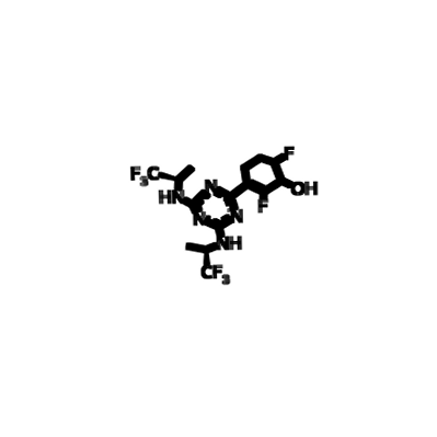 C[C@@H](Nc1nc(N[C@H](C)C(F)(F)F)nc(C2=C(F)C(O)C(F)CC2)n1)C(F)(F)F